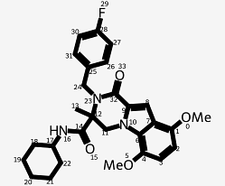 COc1ccc(OC)c2c1cc1n2CC(C)(C(=O)NC2CCCCC2)N(Cc2ccc(F)cc2)C1=O